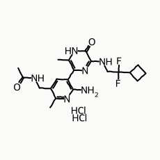 CC(=O)NCc1cc(-c2nc(NCC(F)(F)C3CCC3)c(=O)[nH]c2C)c(N)nc1C.Cl.Cl